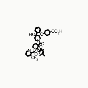 CCC[C@H]1N(C(=O)c2ncccc2C(F)(F)F)CCC[C@@]1(Oc1csc(C)c1)C(=O)N1CCC(O)(c2ccccc2O[C@H]2CC[C@H](C(=O)O)CC2)CC1